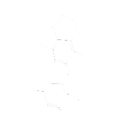 CCN(C)/C=N\c1cc(Cl)c(Nc2cc(Cl)ccc2C)cc1Cl